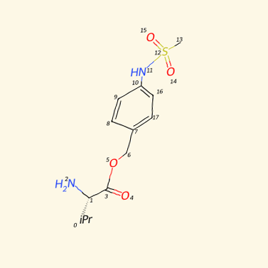 CC(C)[C@H](N)C(=O)OCc1ccc(NS(C)(=O)=O)cc1